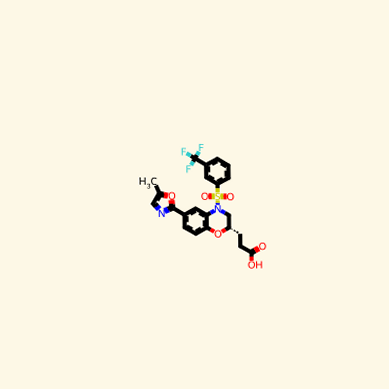 Cc1cnc(-c2ccc3c(c2)N(S(=O)(=O)c2cccc(C(F)(F)F)c2)C[C@H](CCC(=O)O)O3)o1